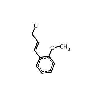 COc1ccccc1/C=C/CCl